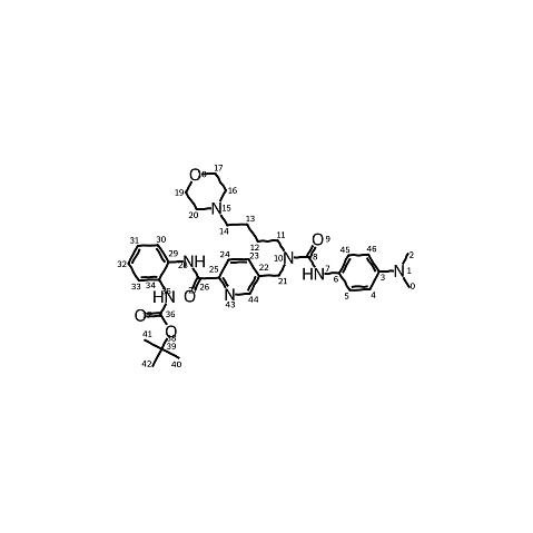 CN(C)c1ccc(NC(=O)N(CCCCN2CCOCC2)Cc2ccc(C(=O)Nc3ccccc3NC(=O)OC(C)(C)C)nc2)cc1